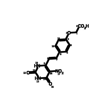 O=C(O)COc1ccc(/C=C/c2[nH]c(=O)[nH]c(=O)c2[N+](=O)[O-])cc1